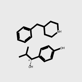 CC(C)[C@@H](O)c1ccc(O)cc1.c1ccc(CC2CCNCC2)cc1